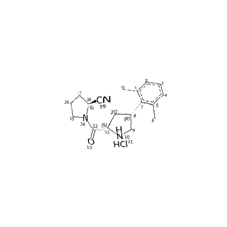 Cc1cccc(C)c1[C@@H]1CN[C@H](C(=O)N2CCC[C@H]2C#N)C1.Cl